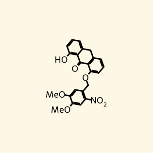 COc1cc(COc2cccc3c2C(=O)c2c(O)cccc2C3)c([N+](=O)[O-])cc1OC